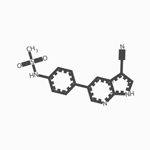 CS(=O)(=O)Nc1ccc(-c2cnc3[nH]cc(C#N)c3c2)cc1